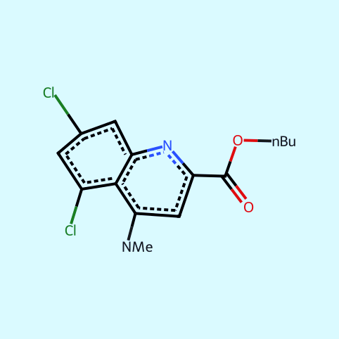 CCCCOC(=O)c1cc(NC)c2c(Cl)cc(Cl)cc2n1